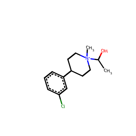 CC(O)[N+]1(C)CCC(c2cccc(Cl)c2)CC1